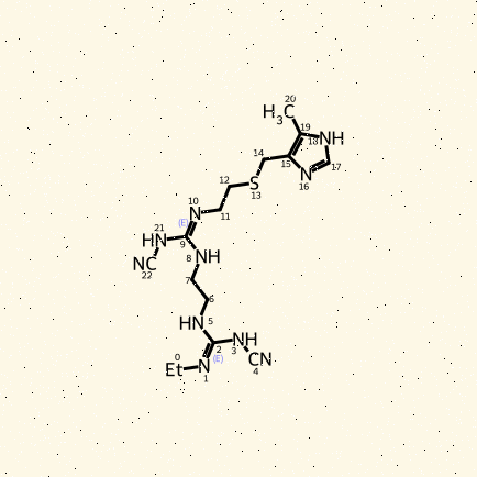 CC/N=C(/NC#N)NCCN/C(=N\CCSCc1nc[nH]c1C)NC#N